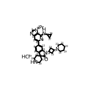 CC(C)n1cnc2cc(-c3ccc4c(c3)N([C@H]3C[C@@H](N5CCCCC5)C3)C(=O)C43CCNCC3)nc(NC3CC3)c21.Cl